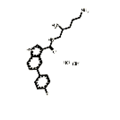 Cl.Cl.NCCCC(N)CNC(=O)c1c[nH]c2ccc(-c3ccc(F)cc3)cc12